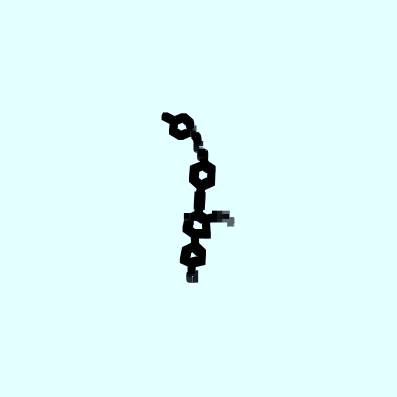 CC1CCN(CCOc2ccc(C#Cc3ncc(-c4ccc(Cl)cc4)cc3N)cc2)CC1